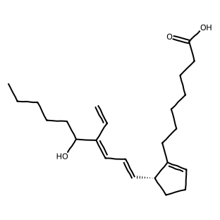 C=C/C(=C\C=C\[C@H]1CCC=C1CCCCCCC(=O)O)C(O)CCCCC